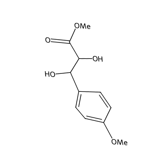 COC(=O)C(O)C(O)c1ccc(OC)cc1